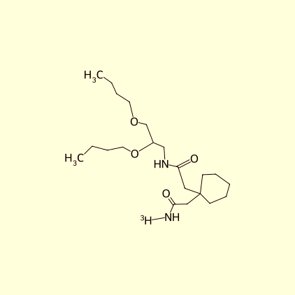 [3H]NC(=O)CC1(CC(=O)NCC(COCCCC)OCCCC)CCCCC1